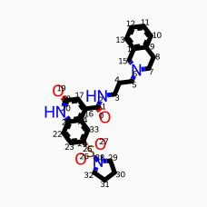 O=C(NCCCN1CCc2ccccc2C1)c1cc(=O)[nH]c2ccc(S(=O)(=O)N3CCCC3)cc12